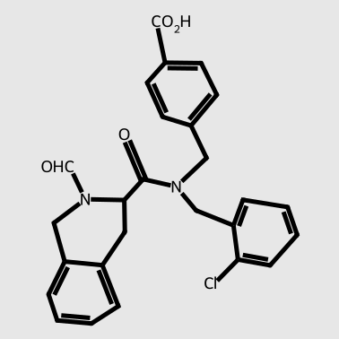 O=CN1Cc2ccccc2CC1C(=O)N(Cc1ccc(C(=O)O)cc1)Cc1ccccc1Cl